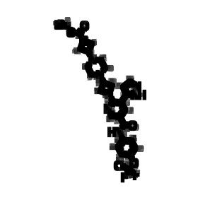 CC(C)(C)OC(=O)N1CC(N2CCN(C3CN(c4ncc(C(=O)Nc5ccc(OC(F)(F)Cl)cc5)cc4-c4ccn[nH]4)C3)CC2)C1